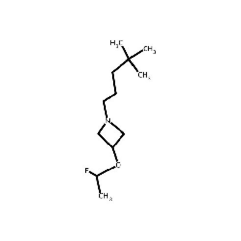 CC(F)OC1CN(CCCC(C)(C)C)C1